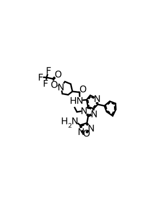 CCn1c(-c2nonc2N)nc2c(-c3ccccc3)ncc(NC(=O)C3CCN(OC(=O)C(F)(F)F)CC3)c21